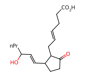 CCCC(O)/C=C/C1CCC(=O)C1C/C=C/CCC(=O)O